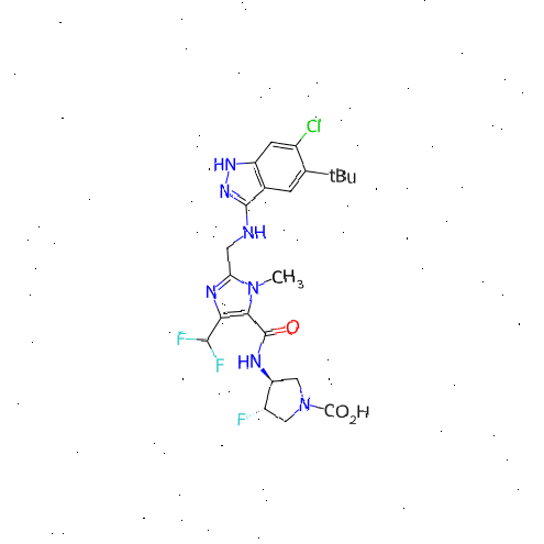 Cn1c(CNc2n[nH]c3cc(Cl)c(C(C)(C)C)cc23)nc(C(F)F)c1C(=O)N[C@H]1CN(C(=O)O)C[C@@H]1F